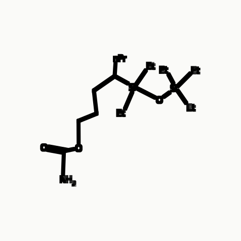 CCCC(CCCOC(N)=O)[Si](CC)(CC)O[Si](CC)(CC)CC